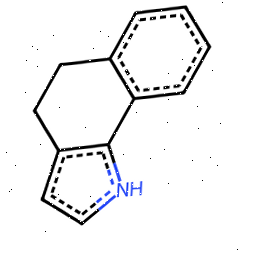 c1ccc2c(c1)CCc1cc[nH]c1-2